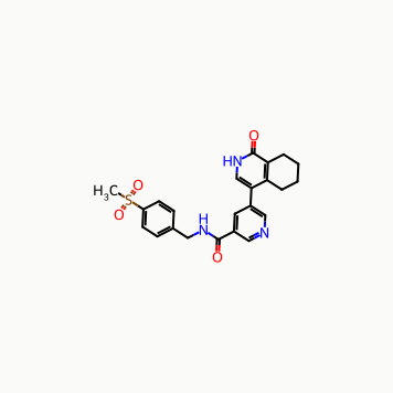 CS(=O)(=O)c1ccc(CNC(=O)c2cncc(-c3c[nH]c(=O)c4c3CCCC4)c2)cc1